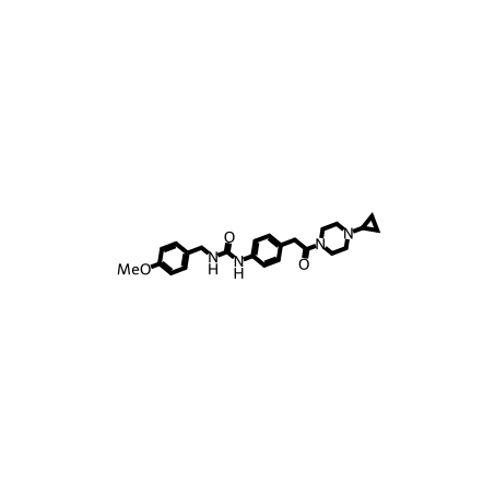 COc1ccc(CNC(=O)Nc2ccc(CC(=O)N3CCN(C4CC4)CC3)cc2)cc1